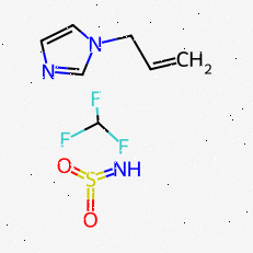 C=CCn1ccnc1.FC(F)F.N=S(=O)=O